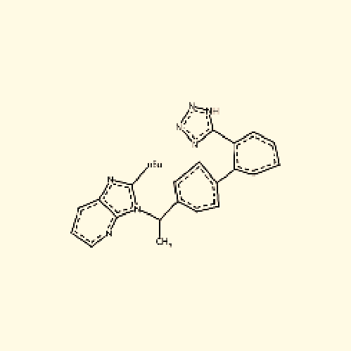 CCCCc1nc2cccnc2n1C(C)c1ccc(-c2ccccc2-c2nnn[nH]2)cc1